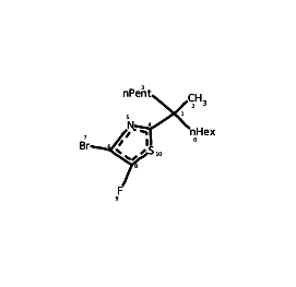 CCCCCCC(C)(CCCCC)c1nc(Br)c(F)s1